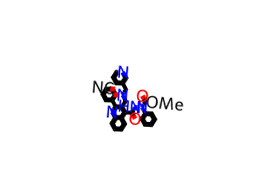 COC(=O)N(NC(=O)c1c(CN(CCC#N)Cc2cccnc2)c(-c2ccccc2)nc2ccccc12)c1ccccc1